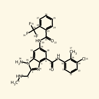 CNCc1nc2c(C(=O)Nc3cccc(Cl)c3C)cc(NC(=O)c3ccccc3C(F)(F)F)cc2n1N